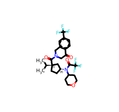 CC(C)[C@]1(C(=O)N2CC(=O)c3ccc(C(F)(F)F)cc3C2)CC[C@@H](N(C(=O)C(F)(F)F)C2CCOCC2)C1